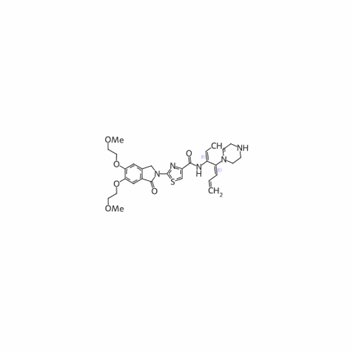 C=C/C=C(\C(=C/C)NC(=O)c1csc(N2Cc3cc(OCCOC)c(OCCOC)cc3C2=O)n1)N1CCNCC1